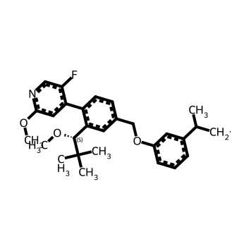 [CH2]C(C)c1cccc(OCc2ccc(-c3cc(OC)ncc3F)c([C@@H](OC)C(C)(C)C)c2)c1